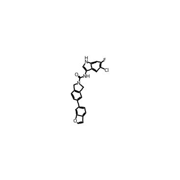 O=C(Nc1c[nH]c2cc(F)c(Cl)cc12)N1Cc2ccc(-c3ccc4ccoc4c3)cc2C1